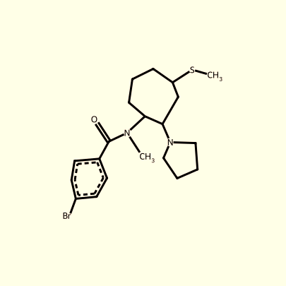 CSC1CCCC(N(C)C(=O)c2ccc(Br)cc2)C(N2CCCC2)C1